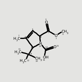 COC(=O)C1C=C(C)C(C(C)(C)C)N1C(=O)O